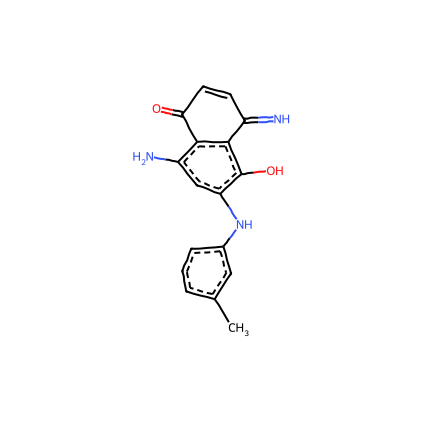 Cc1cccc(Nc2cc(N)c3c(c2O)C(=N)C=CC3=O)c1